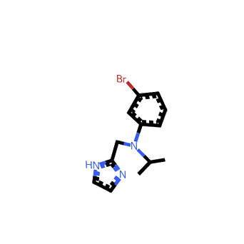 CC(C)N(Cc1ncc[nH]1)c1cccc(Br)c1